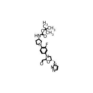 CC(C)(C)OC(=O)N[C@@H]1CCN(c2ccc(N3C[C@H](Cn4ccnn4)OC3C=O)cc2F)C1